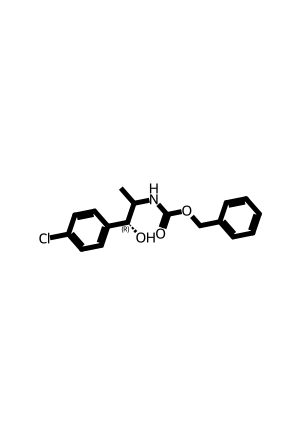 CC(NC(=O)OCc1ccccc1)[C@H](O)c1ccc(Cl)cc1